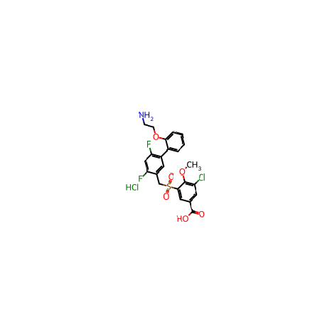 COc1c(Cl)cc(C(=O)O)cc1S(=O)(=O)Cc1cc(-c2ccccc2OCCN)c(F)cc1F.Cl